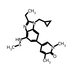 CCc1nc2c(NSC)cc(-c3cc(C)c(=O)n(C)c3)cc2n1CC1CC1